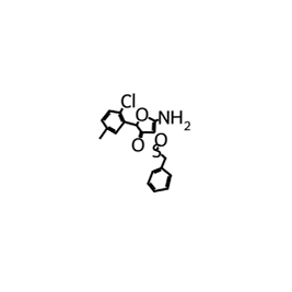 Cc1ccc(Cl)c(C2OC(N)=C(OSCc3ccccc3)C2=O)c1